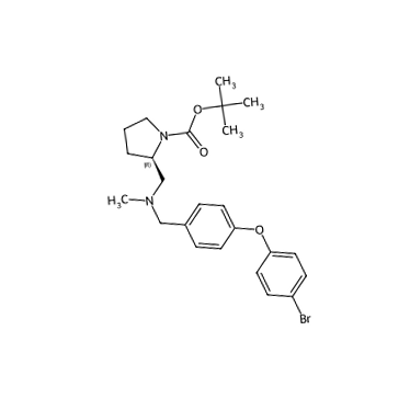 CN(Cc1ccc(Oc2ccc(Br)cc2)cc1)C[C@H]1CCCN1C(=O)OC(C)(C)C